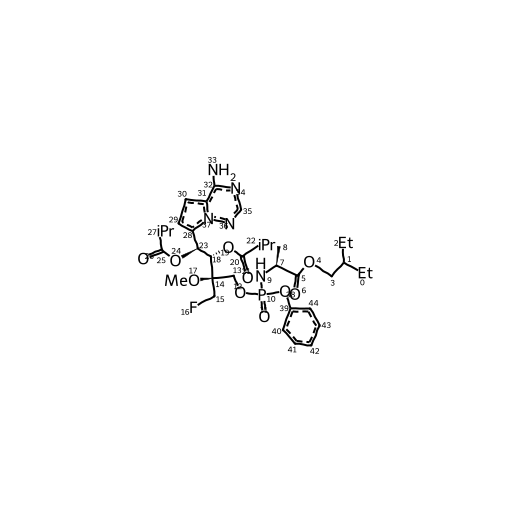 CCC(CC)COC(=O)[C@H](C)NP(=O)(OC[C@@](CF)(OC)[C@@H](OC(=O)C(C)C)[C@@H](OC(=O)C(C)C)c1ccc2c(N)ncnn12)Oc1ccccc1